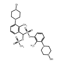 CCCN1CCN(c2cccc(OS(=O)(=O)C(OS(C)(=O)=O)c3cccc(N4CCN(CC)CC4)c3C)c2C)CC1